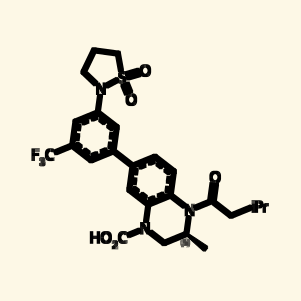 CC(C)CC(=O)N1c2ccc(-c3cc(N4CCCS4(=O)=O)cc(C(F)(F)F)c3)cc2N(C(=O)O)C[C@@H]1C